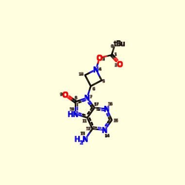 CC(C)(C)C(=O)ON1CC(n2c(=O)[nH]c3c(N)ncnc32)C1